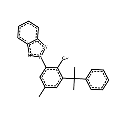 Cc1cc(-n2nc3ccccc3n2)c(O)c(C(C)(C)c2ccccc2)c1